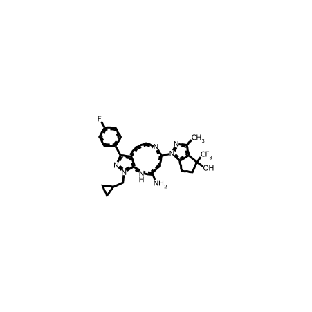 Cc1nn(-c2cc(N)[nH]c3c(ccn2)c(-c2ccc(F)cc2)nn3CC2CC2)c2c1C(O)(C(F)(F)F)CC2